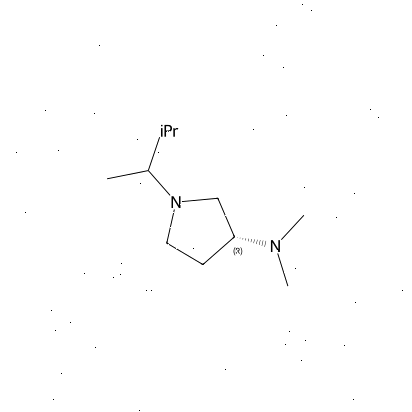 CC(C)C(C)N1CC[C@@H](N(C)C)C1